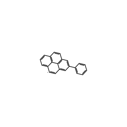 [c]1cc2cc(-c3ccccc3)cc3ccc4cccc1c4c23